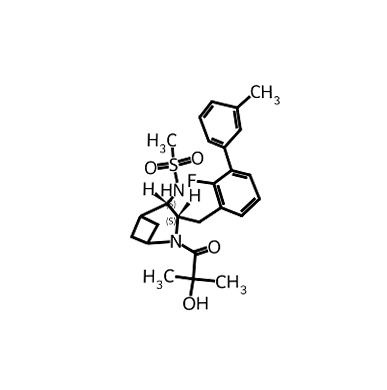 Cc1cccc(-c2cccc(C[C@H]3[C@@H](NS(C)(=O)=O)C4CC(C4)N3C(=O)C(C)(C)O)c2F)c1